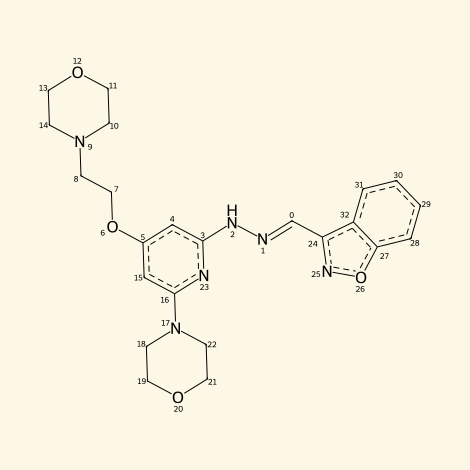 C(=NNc1cc(OCCN2CCOCC2)cc(N2CCOCC2)n1)c1noc2ccccc12